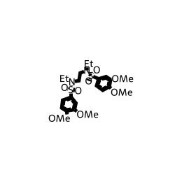 CCN(CCN(CC)S(=O)(=O)c1ccc(OC)c(OC)c1)S(=O)(=O)c1ccc(OC)c(OC)c1